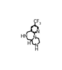 FC(F)(F)c1cnc2c(c1)CNC[C@@H]1CNCCN21